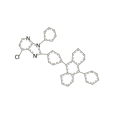 Clc1ccnc2c1nc(-c1ccc(-c3c4ccccc4c(-c4ccccc4)c4ccccc34)cc1)n2-c1ccccc1